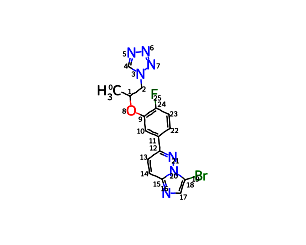 CC(Cn1cnnn1)Oc1cc(-c2ccc3ncc(Br)n3n2)ccc1F